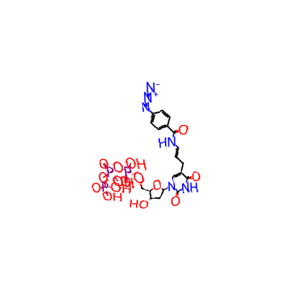 [N-]=[N+]=Nc1ccc(C(=O)NC=CCc2cn([C@H]3C[C@H](O)[C@@H](COP(=O)(O)OP(=O)(O)OP(=O)(O)O)O3)c(=O)[nH]c2=O)cc1